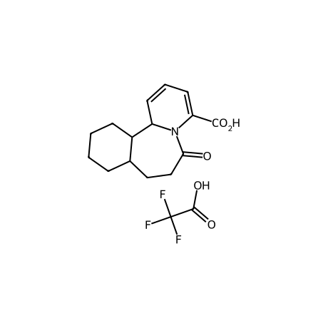 O=C(O)C(F)(F)F.O=C(O)C1=CC=CC2C3CCCCC3CCC(=O)N12